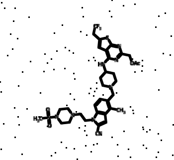 CC(=O)OCc1nc(NC2CCN(Cc3ccc4c(cc(C#N)n4CCN4CCN(S(C)(=O)=O)CC4)c3C)CC2)c2cc(CC(F)(F)F)sc2n1